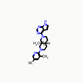 Cc1cc(C#N)cnc1N1CC[C@H]2CCN(c3ncnc4[nH]ccc34)C[C@@]2(C)C1